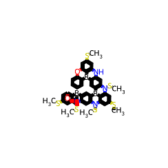 CSc1cc2c3c(c1)Oc1ccccc1B3c1cc3c(cc1N2)N(SC)c1cc(SC)cc2c1B3c1cc3c(cc1N2SC)N(SC)c1cc(SC)cc2c1B3c1ccccc1O2